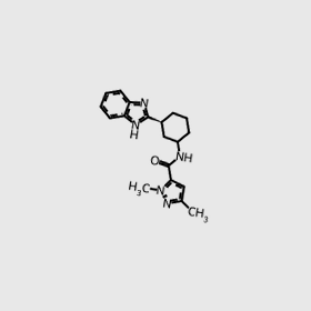 Cc1cc(C(=O)NC2CCC[C@H](c3nc4ccccc4[nH]3)C2)n(C)n1